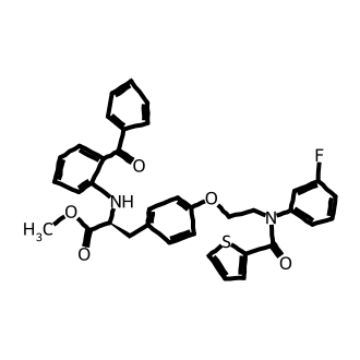 COC(=O)[C@H](Cc1ccc(OCCN(C(=O)c2cccs2)c2cccc(F)c2)cc1)Nc1ccccc1C(=O)c1ccccc1